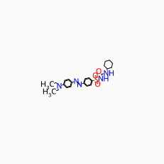 CCN(CC)c1ccc(N=Nc2ccc(S(=O)(=O)NC(=O)NC3CCCCC3)cc2)cc1